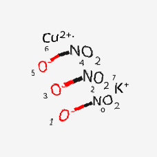 O=[N+]([O-])[O-].O=[N+]([O-])[O-].O=[N+]([O-])[O-].[Cu+2].[K+]